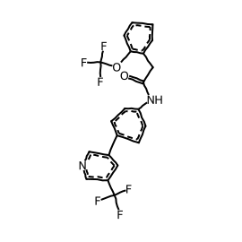 O=C(Cc1ccccc1OC(F)(F)F)Nc1ccc(-c2cncc(C(F)(F)F)c2)cc1